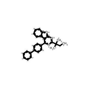 CCC(C)(C)c1nc(-c2ccc(-c3ccccc3)cc2)c2c(n1)oc1ccccc12